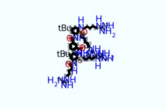 CC(C)(C)c1cc(NC(=O)CCCCNC(=N)N)c(SCCCCCNC(=N)N)c(NC(=O)c2cccc(C(=O)Nc3cc(C(C)(C)C)cc(NC(=O)CCCCNC(=N)N)c3SCCCCCNC(=N)N)c2)c1